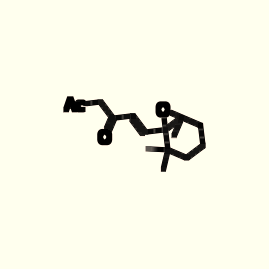 CC(=O)CC(=O)/C=C/C12OC1(C)CCCC2(C)C